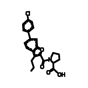 CCCc1c(C(=O)N2CCCC2C(=O)O)oc2cc(-c3ccc(Cl)cc3)ccc12